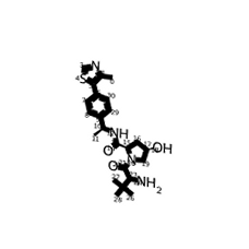 Cc1ncsc1-c1ccc([C@H](C)NC(=O)[C@H]2C[C@H](O)CN2C(=O)C(N)C(C)(C)C)cc1